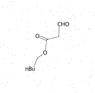 CCCCCOC(=O)CC=O